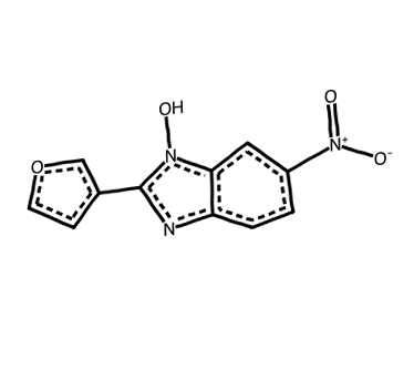 O=[N+]([O-])c1ccc2nc(-c3ccoc3)n(O)c2c1